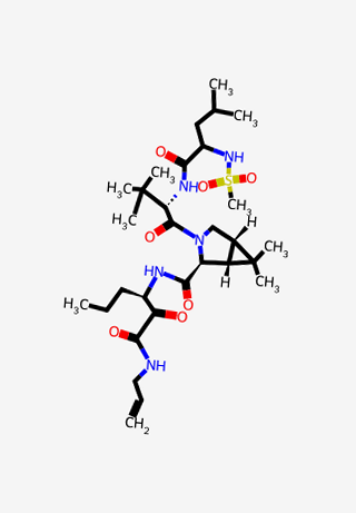 C=CCNC(=O)C(=O)[C@@H](CCC)NC(=O)[C@@H]1[C@@H]2[C@H](CN1C(=O)[C@@H](NC(=O)C(CC(C)C)NS(C)(=O)=O)C(C)(C)C)C2(C)C